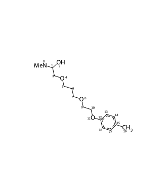 CNC(O)COCCCOCCOc1ccc(C)cc1